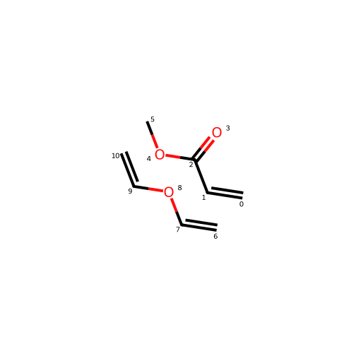 C=CC(=O)OC.C=COC=C